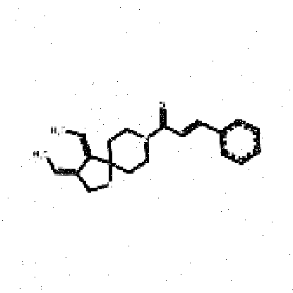 C/C=C1/COC2(CCN(C(=O)/C=C/c3ccccc3)CC2)/C1=C/C